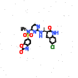 CC(Nc1nccc(N(C(C)C)S(=O)(=O)c2ccc3c(c2)oc(=O)n3C)n1)c1cc2cc(Cl)ccc2[nH]c1=O